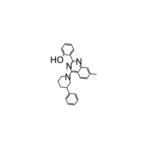 Cc1ccc2c(N3CCCC(c4ccccc4)C3)nc(-c3ccccc3O)nc2c1